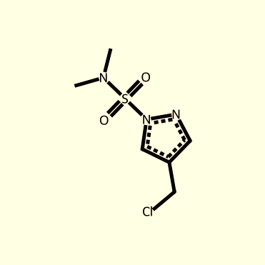 CN(C)S(=O)(=O)n1cc(CCl)cn1